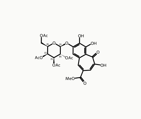 COC(=O)c1cc(O)c(=O)c2c(O)c(O)c(O[C@@H]3O[C@H](COC(C)=O)[C@H](OC(C)=O)[C@H](OC(C)=O)[C@H]3OC(C)=O)cc2c1